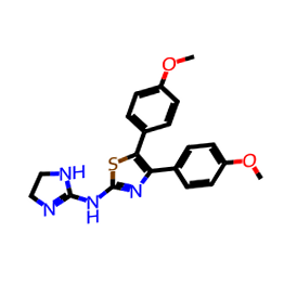 COc1ccc(-c2nc(NC3=NCCN3)sc2-c2ccc(OC)cc2)cc1